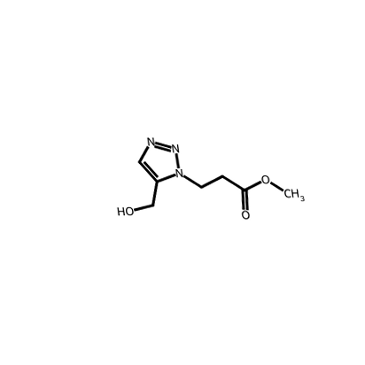 COC(=O)CCn1nncc1CO